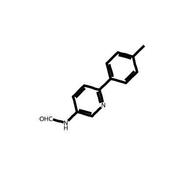 Cc1ccc(-c2ccc(N[C]=O)cn2)cc1